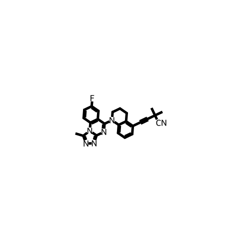 Cc1nnc2nc(N3CCCc4c(C#CC(C)(C)C#N)cccc43)c3cc(F)ccc3n12